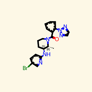 C[C@@H]1[C@@H](Nc2ccc(Br)cn2)CCCN1C(=O)c1ccccc1-n1nccn1